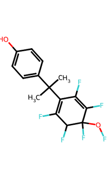 CC(C)(C1=C(F)C(F)C(F)(OF)C(F)=C1F)c1ccc(O)cc1